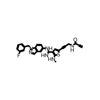 C#CC(=O)NCC#Cc1cc(C(=N)Nc2ccc3c(cnn3Cc3cccc(F)c3)c2)c(NC)s1